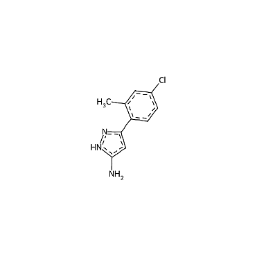 Cc1cc(Cl)ccc1-c1cc(N)[nH]n1